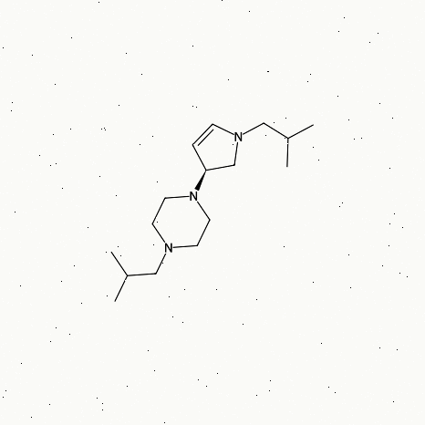 CC(C)CN1C=C[C@H](N2CCN(CC(C)C)CC2)C1